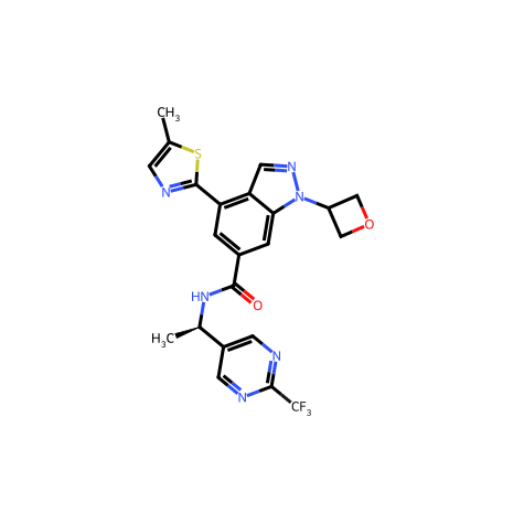 Cc1cnc(-c2cc(C(=O)N[C@H](C)c3cnc(C(F)(F)F)nc3)cc3c2cnn3C2COC2)s1